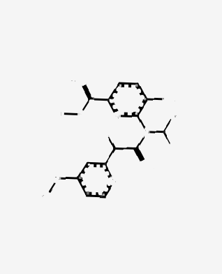 C=C(NCC)c1ccc(C)c(N(C(=C)C(C)c2cc(NCCC)ccn2)C(CC)CCC)n1